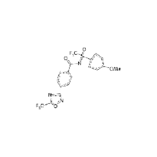 COc1ccc(S(=O)(=NC(=O)c2ccc(-c3noc(C(F)(F)F)n3)cc2)C(F)(F)F)cc1